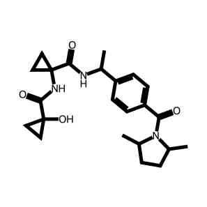 CC(NC(=O)C1(NC(=O)C2(O)CC2)CC1)c1ccc(C(=O)N2C(C)CCC2C)cc1